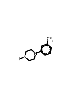 FC(F)(F)c1cccc(N2CCN(I)CC2)c1